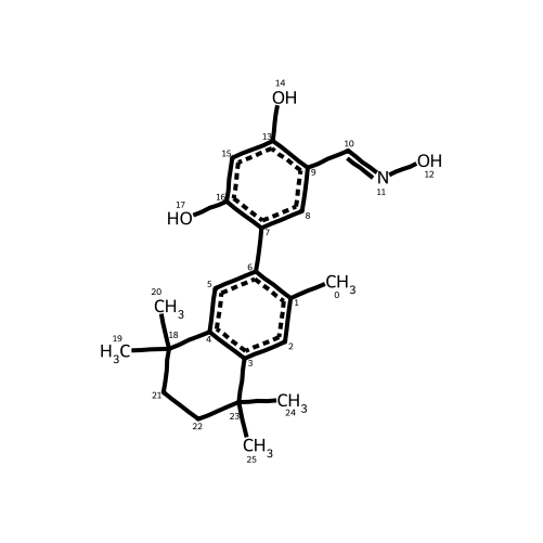 Cc1cc2c(cc1-c1cc(C=NO)c(O)cc1O)C(C)(C)CCC2(C)C